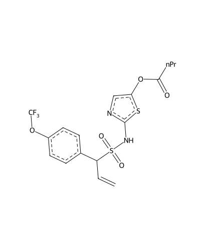 C=CC(c1ccc(OC(F)(F)F)cc1)S(=O)(=O)Nc1ncc(OC(=O)CCC)s1